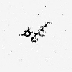 COCNC(=O)OC(C(Oc1ccc(Cl)cc1Cl)n1cncn1)C(C)(C)C